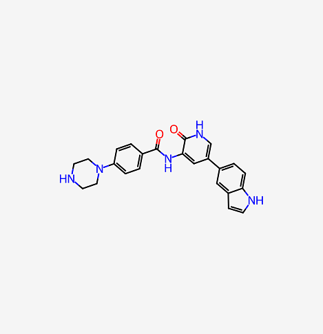 O=C(Nc1cc(-c2ccc3[nH]ccc3c2)c[nH]c1=O)c1ccc(N2CCNCC2)cc1